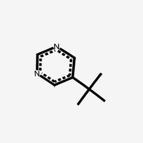 CC(C)(C)c1[c]ncnc1